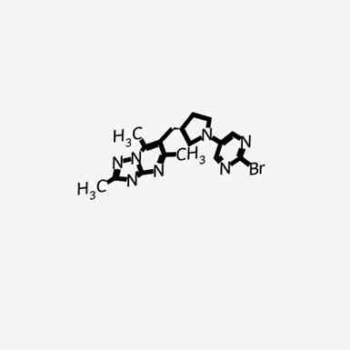 Cc1nc2nc(C)c(C[C@@H]3CCN(c4cnc(Br)nc4)C3)c(C)n2n1